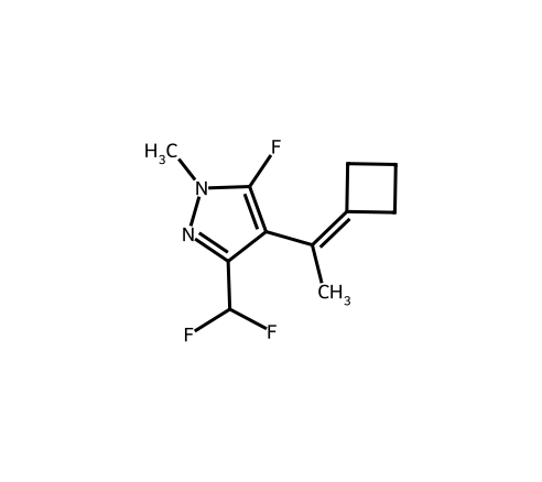 CC(=C1CCC1)c1c(C(F)F)nn(C)c1F